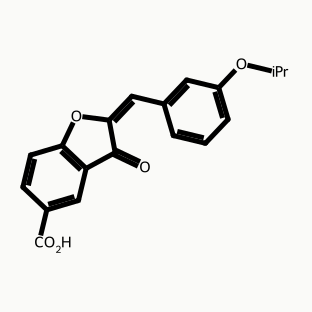 CC(C)Oc1cccc(C=C2Oc3ccc(C(=O)O)cc3C2=O)c1